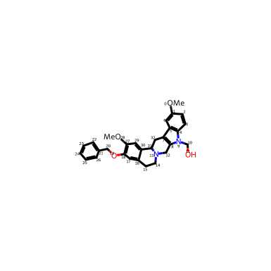 COc1ccc2c(c1)c1c(n2CO)CN2CCc3cc(OCc4ccccc4)c(OC)cc3C2C1